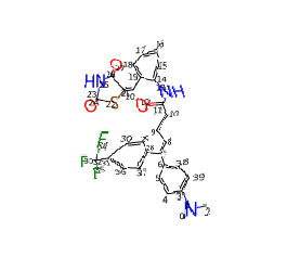 CN(C)c1ccc(/C(=C/C=C/C(=O)Nc2ccccc2C=C2SC(=O)NC2=O)c2ccc(C(F)(F)F)cc2)cc1